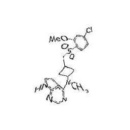 COc1cc(Cl)ccc1S(=O)(=O)CC1CC(N(C)c2ncnc3[nH]ccc23)C1